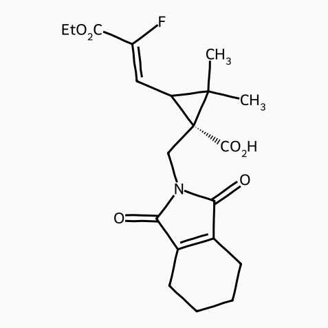 CCOC(=O)/C(F)=C/C1C(C)(C)[C@]1(CN1C(=O)C2=C(CCCC2)C1=O)C(=O)O